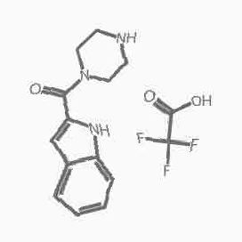 O=C(O)C(F)(F)F.O=C(c1cc2ccccc2[nH]1)N1CCNCC1